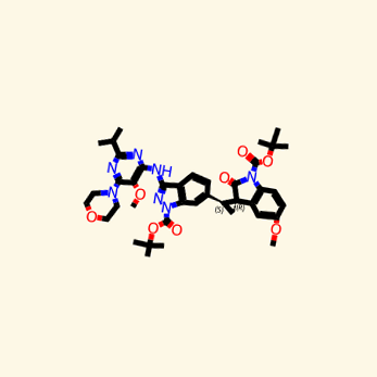 COc1ccc2c(c1)[C@]1(C[C@H]1c1ccc3c(Nc4nc(C(C)C)nc(N5CCOCC5)c4OC)nn(C(=O)OC(C)(C)C)c3c1)C(=O)N2C(=O)OC(C)(C)C